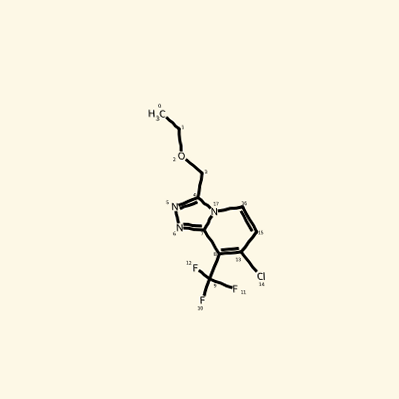 CCOCc1nnc2c(C(F)(F)F)c(Cl)ccn12